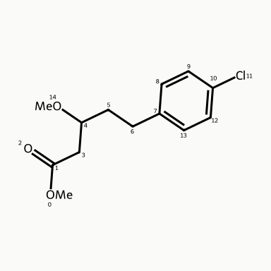 COC(=O)CC(CCc1ccc(Cl)cc1)OC